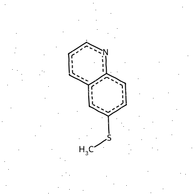 CSc1ccc2n[c]ccc2c1